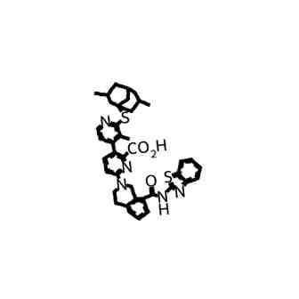 Cc1c(-c2ccc(N3CCc4cccc(C(=O)Nc5nc6ccccc6s5)c4C3)nc2C(=O)O)ccnc1SC12CC(C)CC(CC(C)C1)C2